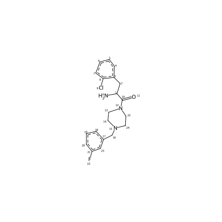 NC(Cc1ccccc1Cl)C(=O)N1CCN(Cc2cccc(F)c2)CC1